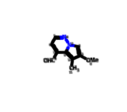 COc1cn2nccc(C=O)c2c1C